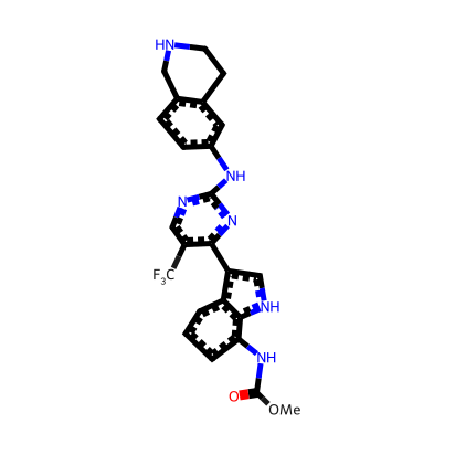 COC(=O)Nc1cccc2c(-c3nc(Nc4ccc5c(c4)CCNC5)ncc3C(F)(F)F)c[nH]c12